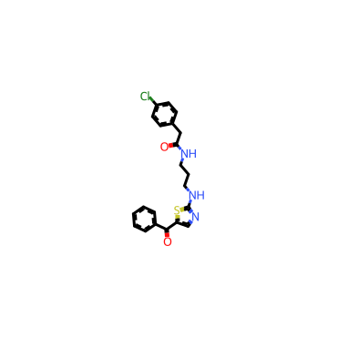 O=C(Cc1ccc(Cl)cc1)NCCCNc1ncc(C(=O)c2ccccc2)s1